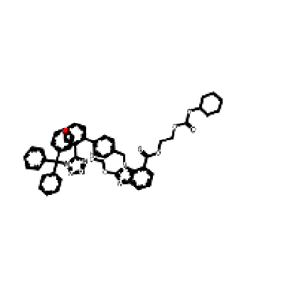 CCOc1nc2cccc(C(=O)OCCOC(=O)OC3CCCCC3)c2n1Cc1ccc(-c2ccccc2-c2nnnn2C(c2ccccc2)(c2ccccc2)c2ccccc2)cc1